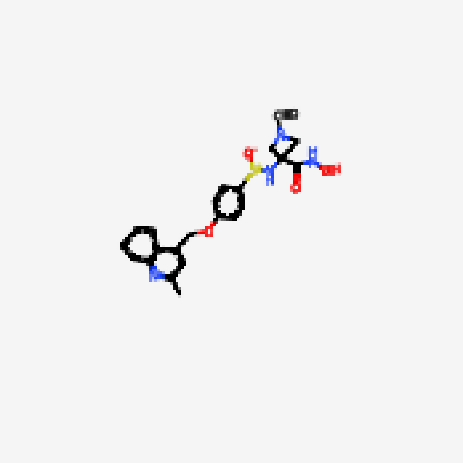 Cc1cc(COc2ccc([S+]([O-])NC3(C(=O)NO)CN(C=O)C3)cc2)c2ccccc2n1